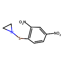 O=[N+]([O-])c1ccc(SN2CC2)c([N+](=O)[O-])c1